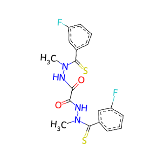 CN(NC(=O)C(=O)NN(C)C(=S)c1cccc(F)c1)C(=S)c1cccc(F)c1